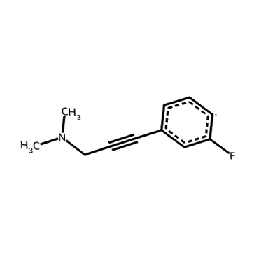 CN(C)CC#Cc1cc[c]c(F)c1